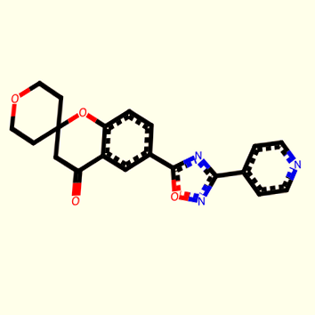 O=C1CC2(CCOCC2)Oc2ccc(-c3nc(-c4ccncc4)no3)cc21